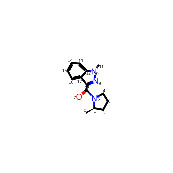 C[C@@H]1CCCN1C(=O)c1nn(C)c2ccccc12